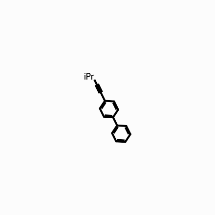 CC(C)C#Cc1ccc(-c2ccccc2)cc1